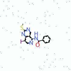 CSc1ncc2c(NC(=O)c3ccccc3)ncc(I)c2n1